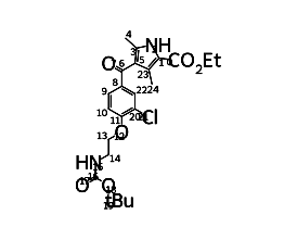 CCOC(=O)c1[nH]c(C)c(C(=O)c2ccc(OCCNC(=O)OC(C)(C)C)c(Cl)c2)c1C